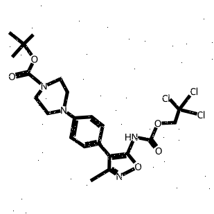 Cc1noc(NC(=O)OCC(Cl)(Cl)Cl)c1-c1ccc(N2CCN(C(=O)OC(C)(C)C)CC2)cc1